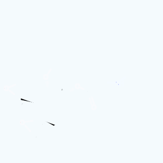 CO[C@@H]1[C@H](OC(=O)CNC(C(C)C)C(C)C)CC[C@]2(CO2)[C@H]1[C@@]1(C)OC1CC=C(C)C